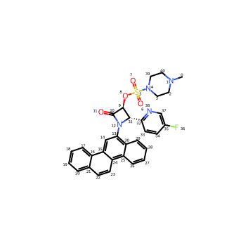 CN1CCN(S(=O)(=O)O[C@@H]2C(=O)N(c3cc4c5ccccc5ccc4c4ccccc34)[C@H]2c2ccc(F)cn2)CC1